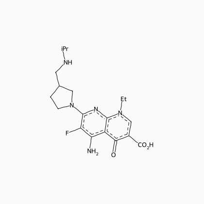 CCn1cc(C(=O)O)c(=O)c2c(N)c(F)c(N3CCC(CNC(C)C)C3)nc21